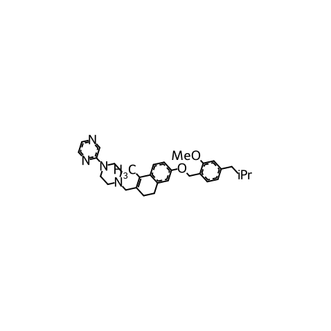 COc1cc(CC(C)C)ccc1COc1ccc2c(c1)CCC(CN1CCN(c3cnccn3)CC1)=C2C